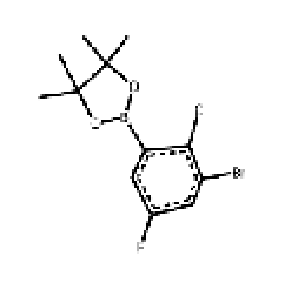 CC1(C)OB(c2cc(F)cc(Br)c2Cl)OC1(C)C